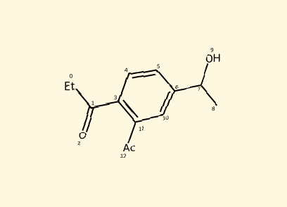 CCC(=O)c1ccc(C(C)O)cc1C(C)=O